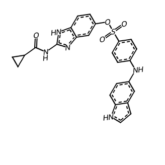 O=C(Nc1nc2cc(OS(=O)(=O)c3ccc(Nc4ccc5[nH]ccc5c4)cc3)ccc2[nH]1)C1CC1